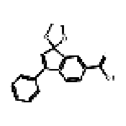 COC1(OC)C=C(c2ccccc2)c2ccc(C(=O)O)cc21